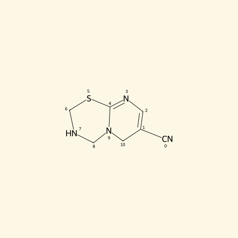 N#CC1=CN=C2SCNCN2C1